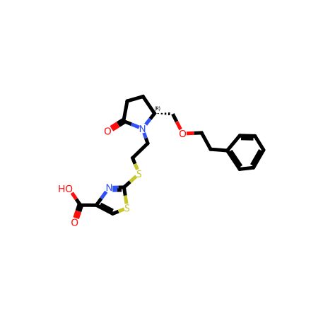 O=C(O)c1csc(SCCN2C(=O)CC[C@@H]2COCCc2ccccc2)n1